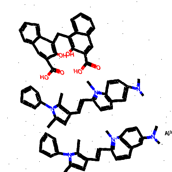 Cc1cc(/C=C/c2ccc3cc(N(C)C)ccc3[n+]2C)c(C)n1-c1ccccc1.Cc1cc(/C=C/c2ccc3cc(N(C)C)ccc3[n+]2C)c(C)n1-c1ccccc1.O=C(O)c1cc2ccccc2c(Cc2c(O)c(C(=O)O)cc3ccccc23)c1O.[Al+3]